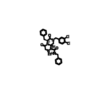 CCN1CC(=O)N2[C@@H](Cc3ccccc3)C(=O)N(Cc3ccc(Cl)c(Cl)c3)C[C@@H]2N1C(=O)NCc1ccccc1